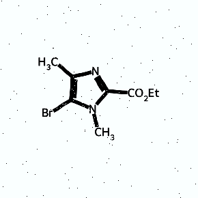 CCOC(=O)c1nc(C)c(Br)n1C